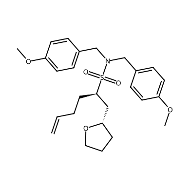 C=CCC[C@H](C[C@@H]1CCCO1)S(=O)(=O)N(Cc1ccc(OC)cc1)Cc1ccc(OC)cc1